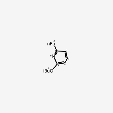 CCCCc1cccc(OCC(C)C)n1